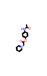 CC(=O)Nc1ccc(OC(=O)C[n+]2ccccc2)cc1